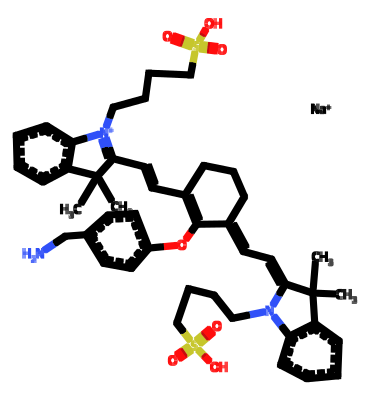 CC1(C)C(=CC=C2CCCC(C=CC3=[N+](CCCCS(=O)(=O)O)c4ccccc4C3(C)C)=C2Oc2ccc(CN)cc2)N(CCCCS(=O)(=O)O)c2ccccc21.[Na+]